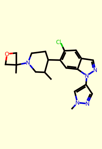 CC1CN(C2(C)COC2)CCC1c1cc2c(cnn2-c2cnn(C)c2)cc1Cl